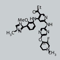 CCC(=O)c1cnc(Nc2cnc(O[C@@H]3CCN(C)C[C@@H]3F)cn2)cc1Nc1cccc(-c2ncn(C)n2)c1OC